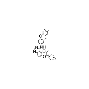 Cc1ccc(Oc2ccc(Nc3ncnc4cccc(OC(C)C(=O)N5CCOCC5)c34)cc2F)cn1